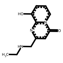 CCNCc1cc(=O)n2cccc(O)c2n1